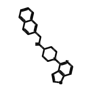 c1ccc2cc(CNC3CCN(c4nccc5occc45)CC3)ccc2c1